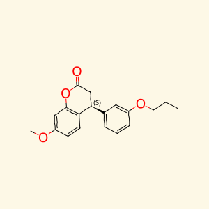 CCCOc1cccc([C@@H]2CC(=O)Oc3cc(OC)ccc32)c1